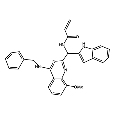 C=CC(=O)NC(c1nc(NCc2ccccc2)c2cccc(OC)c2n1)c1cc2ccccc2[nH]1